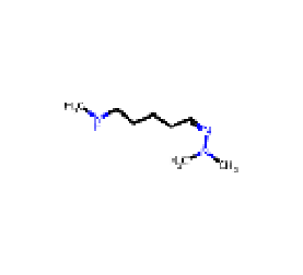 CNCCCC/C=N\N(C)C